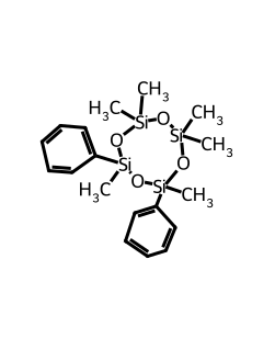 C[Si]1(C)O[Si](C)(C)O[Si](C)(c2ccccc2)O[Si](C)(c2ccccc2)O1